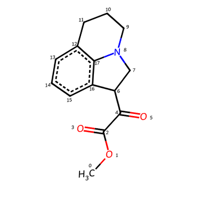 COC(=O)C(=O)C1CN2CCCc3cccc1c32